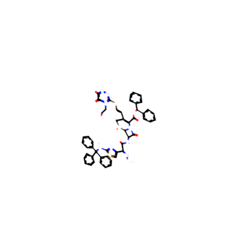 CON=C(C(=O)NC1C(=O)N2C(C(=O)OC(c3ccccc3)c3ccccc3)=C(C=CSc3n[nH]c(=O)c(=O)n3CCO)C[S+]([O-])C12)c1csc(NC(c2ccccc2)(c2ccccc2)c2ccccc2)n1